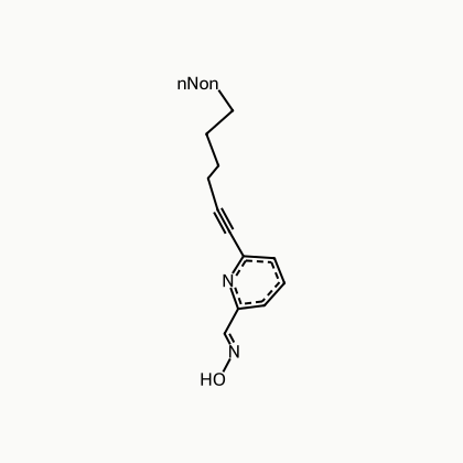 CCCCCCCCCCCCCC#Cc1cccc(/C=N/O)n1